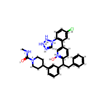 CNC(=O)N1CCC(c2cccc(C(Cc3ccccc3)c3ccc(-c4cc(Cl)ccc4N4C=NNN4)c[n+]3[O-])c2)CC1